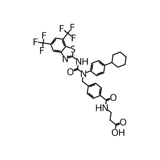 O=C(O)CCNC(=O)c1ccc(CN(C(=O)Nc2nc3cc(C(F)(F)F)cc(C(F)(F)F)c3s2)c2ccc(C3CCCCC3)cc2)cc1